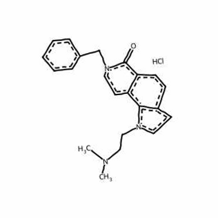 CN(C)CCn1ccc2ccc3c(=O)n(Cc4ccccc4)ccc3c21.Cl